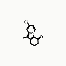 Cc1c2c(n3ccc(Cl)cc13)C(=O)CCC2